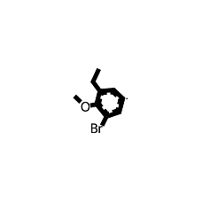 CCc1c[c]cc(Br)c1OC